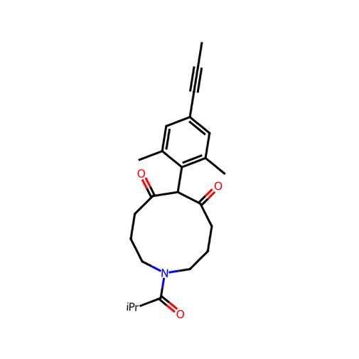 CC#Cc1cc(C)c(C2C(=O)CCCN(C(=O)C(C)C)CCCC2=O)c(C)c1